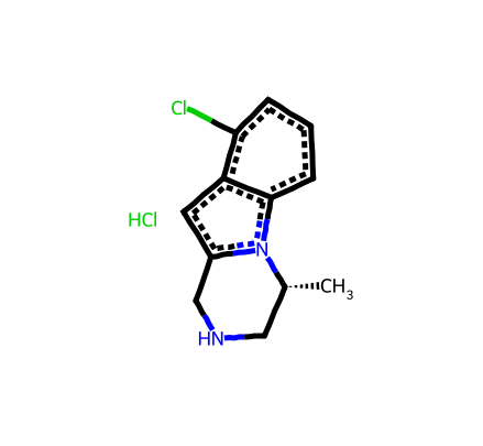 C[C@@H]1CNCc2cc3c(Cl)cccc3n21.Cl